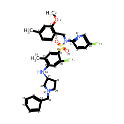 COc1cc(C)ccc1CN(c1ccc(F)cn1)S(=O)(=O)c1cc(C)c(N[C@H]2CCN(Cc3ccccc3)C2)cc1F